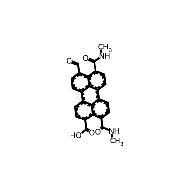 CNC(=O)c1ccc2c3ccc(C(=O)NC)c4c(C(=O)O)ccc(c5ccc(C=O)c1c52)c43